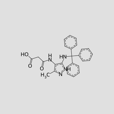 Cc1n[nH]c(NC(c2ccccc2)(c2ccccc2)c2ccccc2)c1NC(=O)CC(=O)O